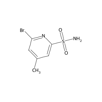 Cc1cc(Br)nc(S(N)(=O)=O)c1